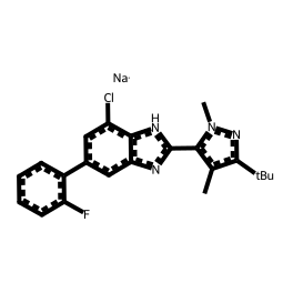 Cc1c(C(C)(C)C)nn(C)c1-c1nc2cc(-c3ccccc3F)cc(Cl)c2[nH]1.[Na]